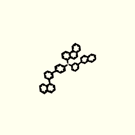 c1cc(-c2ccc(N(c3cccc(-c4ccc5ccccc5c4)c3)c3cccc4c3ccc3ccccc34)cc2)cc(-c2cccc3ccccc23)c1